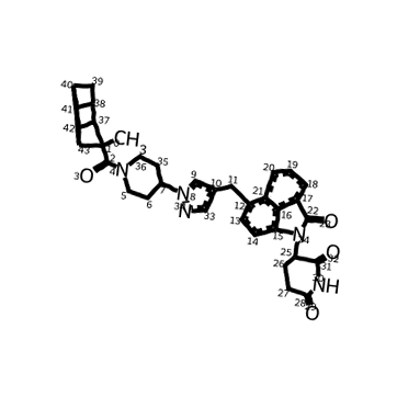 CC1(C(=O)N2CCC(n3cc(Cc4ccc5c6c(cccc46)C(=O)N5C4CCC(=O)NC4=O)cn3)CC2)C2C3CC4C3C2C41